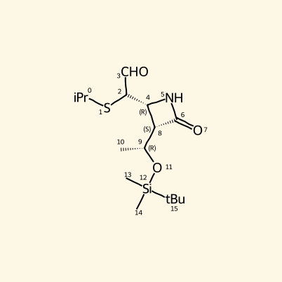 CC(C)SC(C=O)[C@@H]1NC(=O)[C@@H]1[C@@H](C)O[Si](C)(C)C(C)(C)C